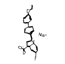 CCOc1ccc(-c2ccc(-c3cc(C(=O)[O-])c4cc(F)ccc4n3)cc2)cc1.[Na+]